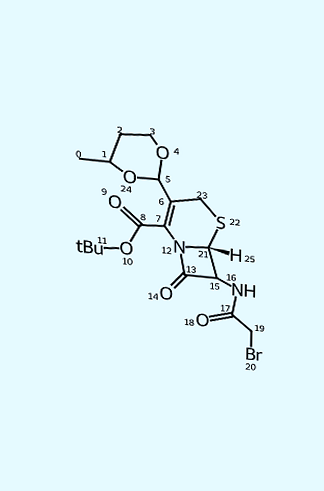 CC1CCOC(C2=C(C(=O)OC(C)(C)C)N3C(=O)C(NC(=O)CBr)[C@H]3SC2)O1